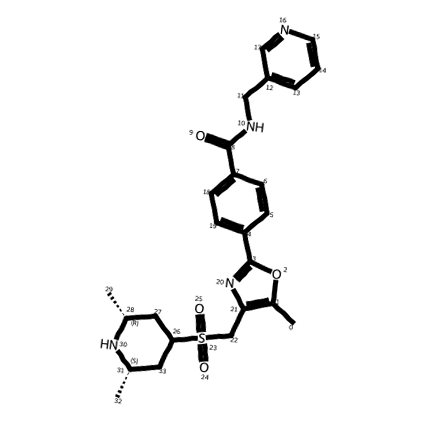 Cc1oc(-c2ccc(C(=O)NCc3cccnc3)cc2)nc1CS(=O)(=O)C1C[C@@H](C)N[C@@H](C)C1